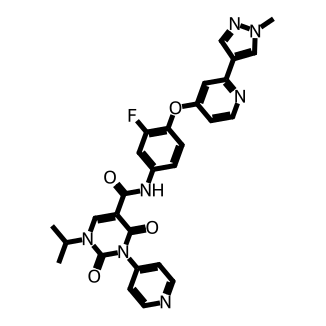 CC(C)n1cc(C(=O)Nc2ccc(Oc3ccnc(-c4cnn(C)c4)c3)c(F)c2)c(=O)n(-c2ccncc2)c1=O